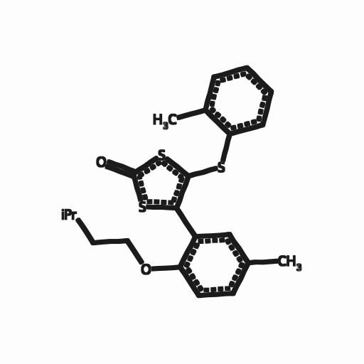 Cc1ccc(OCCC(C)C)c(-c2sc(=O)sc2Sc2ccccc2C)c1